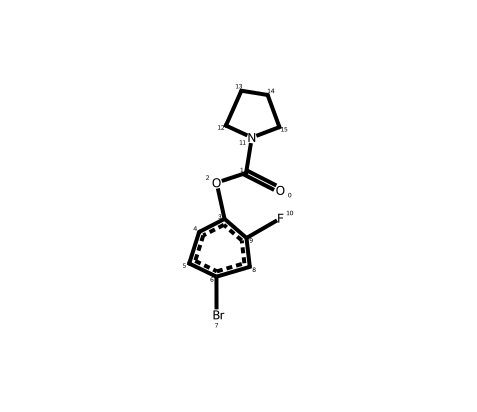 O=C(Oc1ccc(Br)cc1F)N1CCCC1